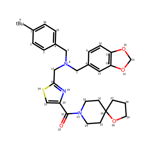 CC(C)(C)c1ccc(CN(Cc2ccc3c(c2)OCO3)Cc2nc(C(=O)N3CCC4(CCCO4)CC3)cs2)cc1